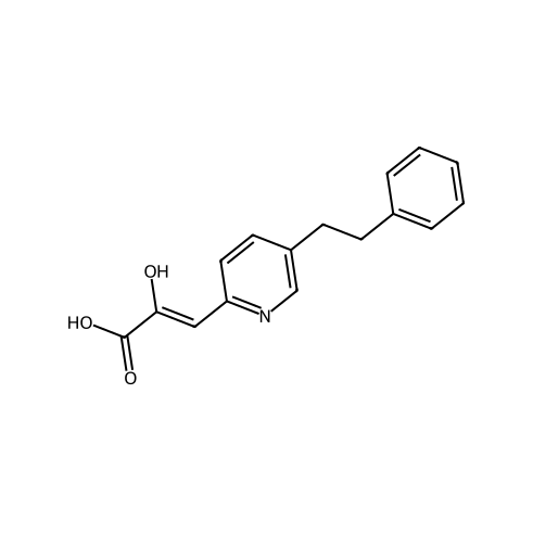 O=C(O)C(O)=Cc1ccc(CCc2ccccc2)cn1